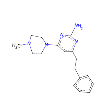 CN1CCN(c2cc(CCc3ccccc3)nc(N)n2)CC1